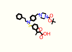 Cc1c(C(=O)O)oc2ccc(SN(CCc3ccccc3)c3ccc(CN4CCN(C(=O)OC(C)(C)C)CC4)cc3)cc12